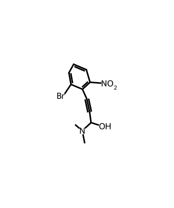 CN(C)C(O)C#Cc1c(Br)cccc1[N+](=O)[O-]